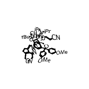 COc1ccc(C(OC[C@H]2O[C@@H](N3C=C4CCC5=C4C(=N3)C=NOC5)[C@H](O[Si](C)(C)C(C)(C)C)[C@@H]2OP(OCCC#N)N(C(C)C)C(C)C)(c2ccccc2)c2ccc(OC)cc2)cc1